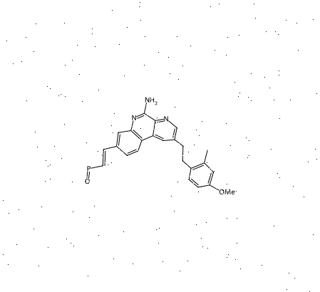 COc1ccc(CCc2cnc3c(N)nc4cc(/C=C/P=O)ccc4c3c2)c(C)c1